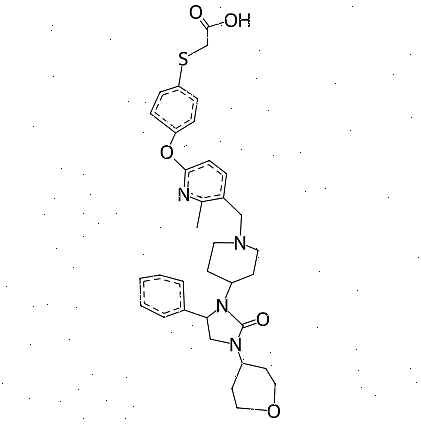 Cc1nc(Oc2ccc(SCC(=O)O)cc2)ccc1CN1CCC(N2C(=O)N(C3CCOCC3)CC2c2ccccc2)CC1